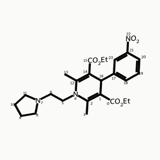 CCOC(=O)C1=C(C)N(CCN2CCCC2)C(C)=C(C(=O)OCC)C1c1cccc([N+](=O)[O-])c1